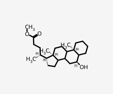 COC(=O)CC[C@@H](C)[C@H]1CCC2C3C[C@H](O)C4CCCC[C@]4(C)C3CC[C@@]21C